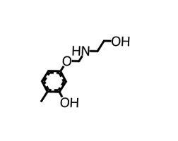 Cc1ccc(OCNCCO)cc1O